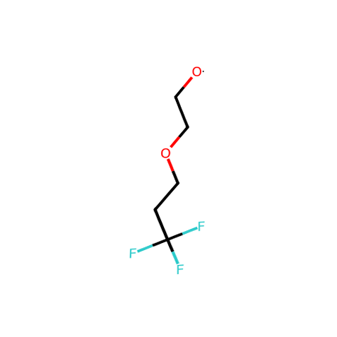 [O]CCOCCC(F)(F)F